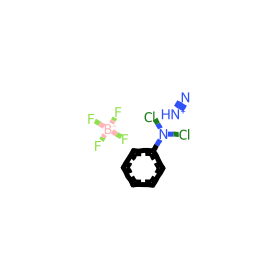 ClN(Cl)c1ccccc1.F[B-](F)(F)F.N#[NH+]